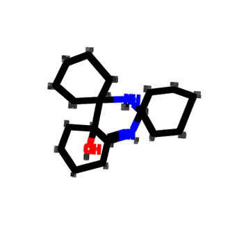 OC12CCCCC1=NC1(CCCCC1)NC21CCCCC1